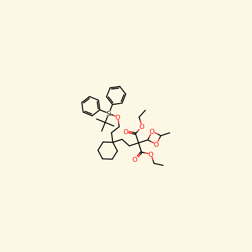 CCOC(=O)C(CCC1(CCO[Si](c2ccccc2)(c2ccccc2)C(C)(C)C)CCCCC1)(C(=O)OCC)C1OC(C)O1